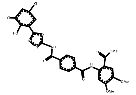 COC(=O)c1cc(OC)c(OC)cc1NC(=O)c1ccc(C(=O)Nc2nnc(-c3cc(Cl)cc(Cl)c3O)s2)cc1